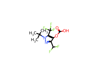 CC(C)(C)n1nc(C(F)F)c(OC(=O)O)c1C(F)(F)F